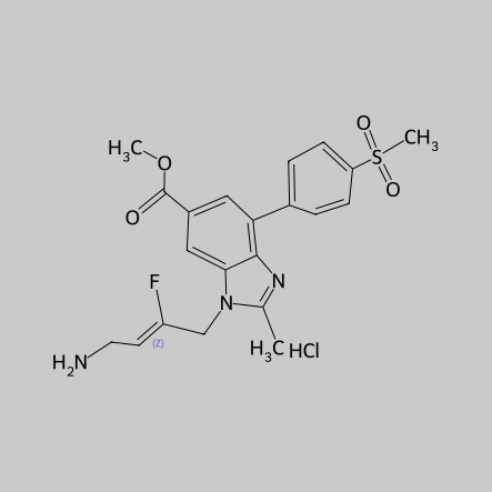 COC(=O)c1cc(-c2ccc(S(C)(=O)=O)cc2)c2nc(C)n(C/C(F)=C/CN)c2c1.Cl